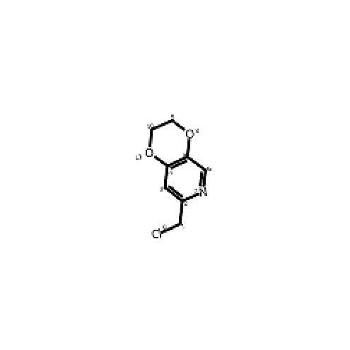 ClCc1cc2c(cn1)OCCO2